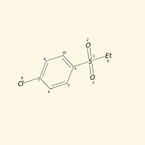 CCS(=O)(=O)c1c[c]c(Cl)cc1